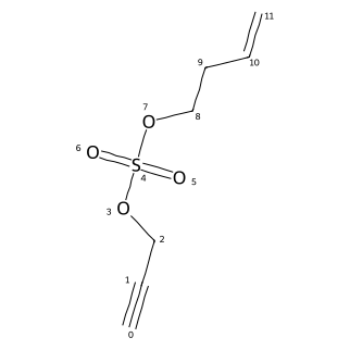 C#CCOS(=O)(=O)OCCC=C